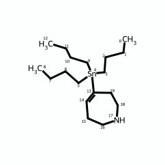 CCC[CH2][Sn]([CH2]CCC)([CH2]CCC)[C]1=CCCNCC1